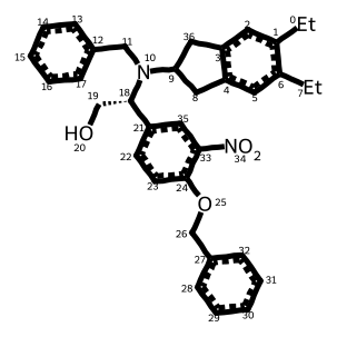 CCc1cc2c(cc1CC)CC(N(Cc1ccccc1)[C@@H](CO)c1ccc(OCc3ccccc3)c([N+](=O)[O-])c1)C2